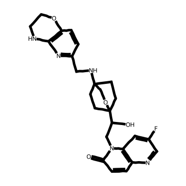 O=c1ccc2ncc(F)cc2n1CC(O)C12CCC(NCc3ccc4c(n3)NCCO4)(CC1)CO2